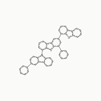 c1ccc(-c2ccc3c(c2)c2ccccc2n3-c2cccc3c2sc2c(-c4ccccc4)cc(-c4cccc5c4oc4ccccc45)cc23)cc1